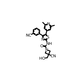 Cc1cc(-c2sc(NC(=O)N3CC(C#N)(CO)C3)nc2-c2cccc(C#N)c2)cc(C)n1